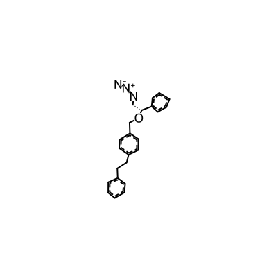 [N-]=[N+]=NC[C@@H](OCc1ccc(CCc2ccccc2)cc1)c1ccccc1